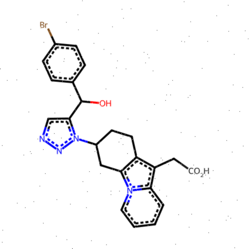 O=C(O)Cc1c2c(n3ccccc13)CC(n1nncc1C(O)c1ccc(Br)cc1)CC2